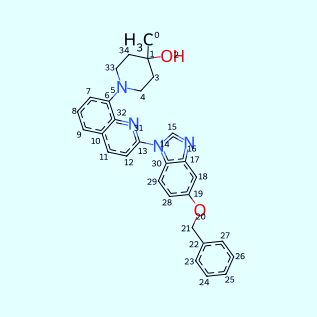 CC1(O)CCN(c2cccc3ccc(-n4cnc5cc(OCc6ccccc6)ccc54)nc23)CC1